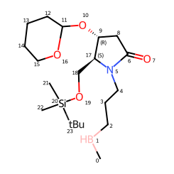 CBCCCN1C(=O)C[C@@H](OC2CCCCO2)[C@@H]1CO[Si](C)(C)C(C)(C)C